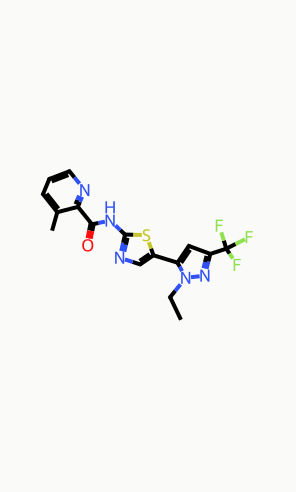 CCn1nc(C(F)(F)F)cc1-c1cnc(NC(=O)c2ncccc2C)s1